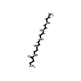 CCCC(=O)NCCNCCNCCNCCNCCN